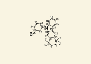 CC1(C)CCC(C)(C)c2cc3c(cc21)c1ccccc1n3-c1cccc(Br)c1